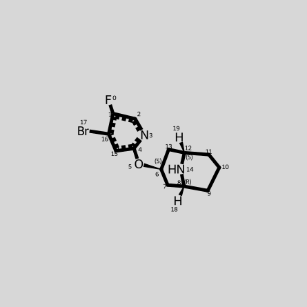 Fc1cnc(O[C@@H]2C[C@H]3CCC[C@@H](C2)N3)cc1Br